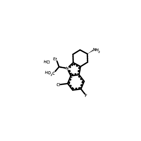 CCC(C(=O)O)n1c2c(c3cc(F)cc(Cl)c31)C[C@@H](N)CC2.Cl